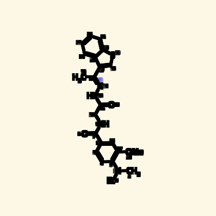 CCN(C)c1ccc(C(=O)NCC(=O)N/N=C(\C)c2csc3ccccc23)cc1OC